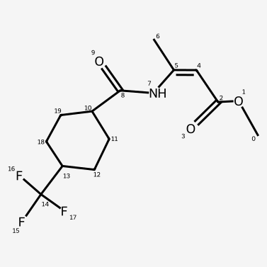 COC(=O)/C=C(/C)NC(=O)C1CCC(C(F)(F)F)CC1